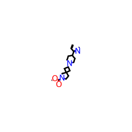 C=C/C(=N\C)C1CCN(C2CC3(CCN(C(=O)OC)C3)C2)CC1